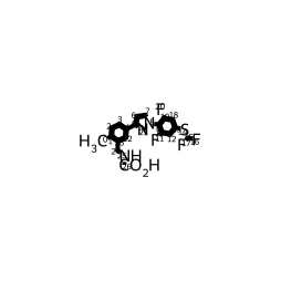 Cc1ccc(-c2ccn(-c3c(F)cc(SC(F)F)cc3F)n2)cc1CNC(=O)O